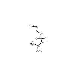 C=CCOP(=O)(O)ON(C)C